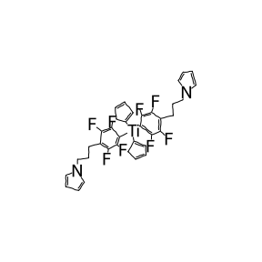 Fc1c(F)[c]([Ti]([C]2=CC=CC2)([C]2=CC=CC2)[c]2c(F)c(F)c(CCCn3cccc3)c(F)c2F)c(F)c(F)c1CCCn1cccc1